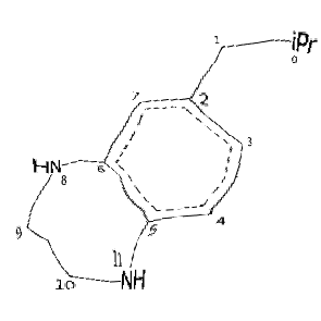 CC(C)Cc1ccc2c(c1)NCCN2